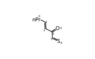 CCCC=CC(=O)C=S